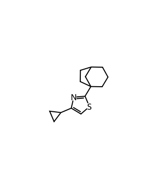 c1sc(C23CCCC(CC2)C3)nc1C1CC1